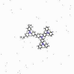 Cc1ccc(N(C2CCC(C)CC2)C2CCC(C3CCC(N(c4ccc(N(c5ccccc5)c5ccccc5)cc4)c4ccc(N(c5ccccc5)c5ccccc5)cc4)CC3)CC2)cc1